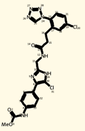 COC(=O)Nc1ccc(-c2nc(CNC(=O)CCc3cc(Cl)ccc3-n3cnnn3)[nH]c2Cl)cc1